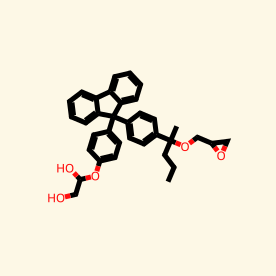 CCCC(C)(OCC1CO1)c1ccc(C2(c3ccc(OC(O)CO)cc3)c3ccccc3-c3ccccc32)cc1